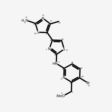 COCc1nc(Nc2nc(-c3sc(N)nc3C)cs2)ccc1Br